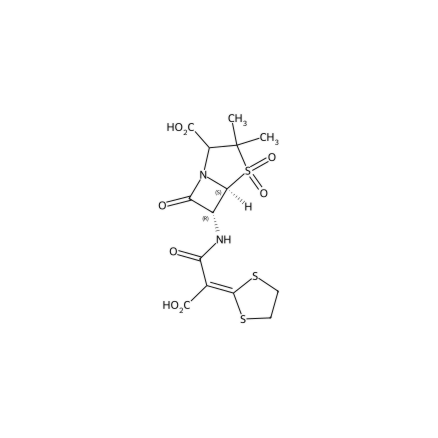 CC1(C)C(C(=O)O)N2C(=O)[C@@H](NC(=O)C(C(=O)O)=C3SCCS3)[C@@H]2S1(=O)=O